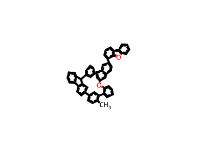 Cc1ccc(-c2ccc3c(c2)C(c2ccccc2)c2ccccc2-3)cc1-c1ccccc1Oc1ccc2cc(-c3cccc4c3oc3ccccc34)ccc2c1